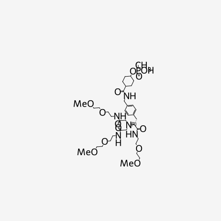 COCCOCCNC(=O)CN(CC(=O)NCCOCCOC)[C@H](Cc1ccc(CNC(=O)C2CCC(OP(C)(=O)O)CC2)cc1)C(=O)NCCOCCOC